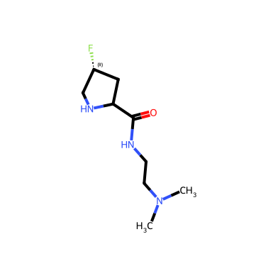 CN(C)CCNC(=O)C1C[C@@H](F)CN1